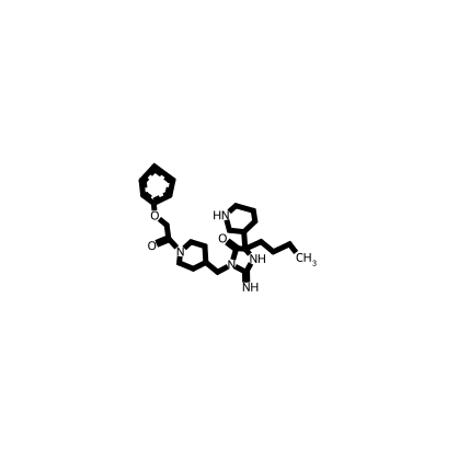 CCCCC1(C2CCCNC2)NC(=N)N(CC2CCN(C(=O)COc3ccccc3)CC2)C1=O